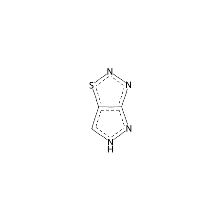 c1[nH]nc2nnsc12